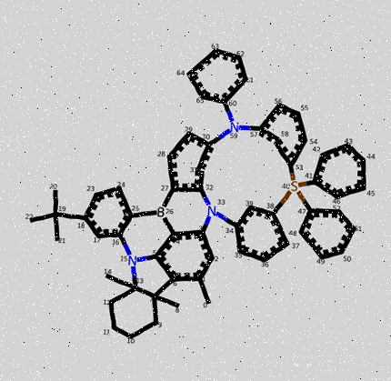 Cc1cc2c3c4c1C1(C)CCCCC1(C)N4c1cc(C(C)(C)C)ccc1B3c1ccc3cc1N2c1cccc(c1)S(c1ccccc1)(c1ccccc1)c1cccc(c1)N3c1ccccc1